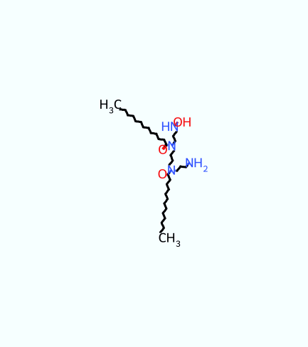 CCCCCCCCCCCCCC(=O)N(CCCN)CCCCN(CCCNO)C(=O)CCCCCCCCCCCCC